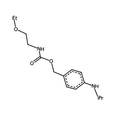 CCOCCNC(=O)OCc1ccc(NC(C)C)cc1